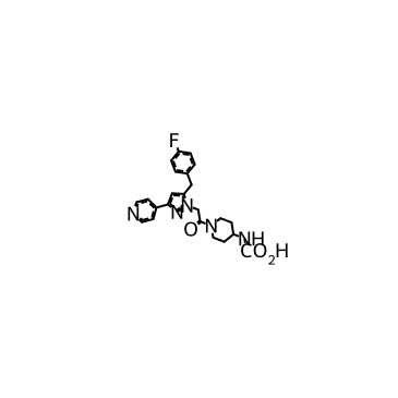 O=C(O)NC1CCN(C(=O)Cn2nc(-c3ccncc3)cc2Cc2ccc(F)cc2)CC1